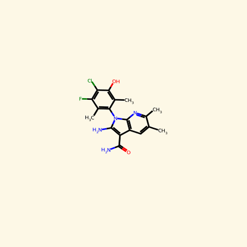 Cc1cc2c(C(N)=O)c(N)n(-c3c(C)c(O)c(Cl)c(F)c3C)c2nc1C